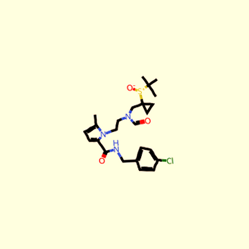 Cc1ccc(C(=O)NCc2ccc(Cl)cc2)n1CCN(C=O)CC1([S+]([O-])C(C)(C)C)CC1